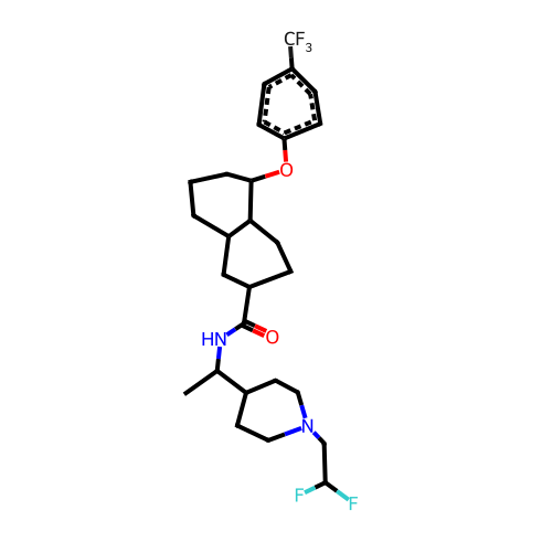 CC(NC(=O)C1CCC2C(CCCC2Oc2ccc(C(F)(F)F)cc2)C1)C1CCN(CC(F)F)CC1